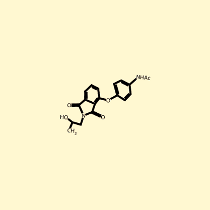 CC(=O)Nc1ccc(Oc2cccc3c2C(=O)N(CC(C)O)C3=O)cc1